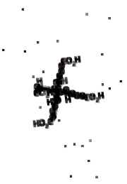 O=C(O)CCOCCOCCOCCNC(=O)CCOCC(COCCC(=O)NCCOCCOCCOCCC(=O)O)(COCCC(=O)NCCOCCOCCOCCC(=O)O)NC(=O)CCCCCCCNC(=O)OCC(Cl)(Cl)Cl